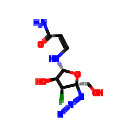 [N-]=[N+]=N[C@]1(CO)O[C@@H](N/C=C\C(N)=O)[C@H](O)[C@@H]1F